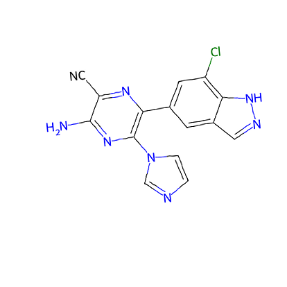 N#Cc1nc(-c2cc(Cl)c3[nH]ncc3c2)c(-n2ccnc2)nc1N